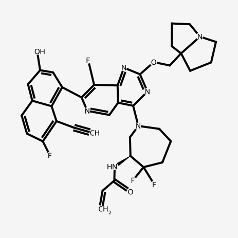 C#Cc1c(F)ccc2cc(O)cc(-c3ncc4c(N5CCCC(F)(F)[C@@H](NC(=O)C=C)C5)nc(OCC56CCCN5CCC6)nc4c3F)c12